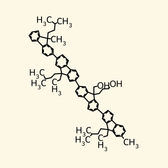 CCC1(CCC(C)C)c2cc(C)ccc2-c2ccc(-c3ccc4c(c3)C(CO)(CCCO)c3cc(-c5ccc6c(c5)C(CC)(CCC(C)C)c5cc(-c7ccc8c(c7)C(C)(CCC(C)C)c7ccccc7-8)ccc5-6)ccc3-4)cc21